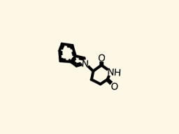 O=C1CCC(n2cc3ccccc3c2)C(=O)N1